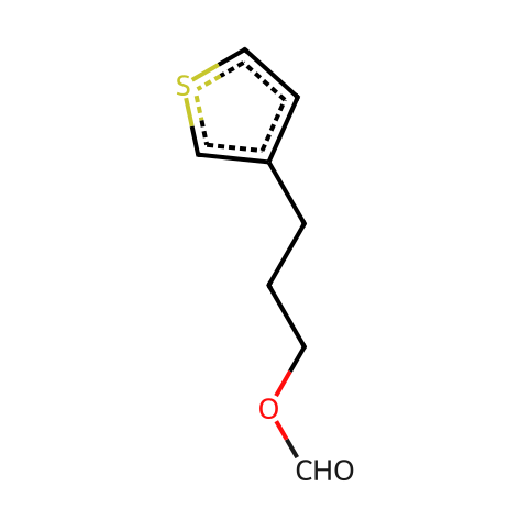 O=COCCCc1ccsc1